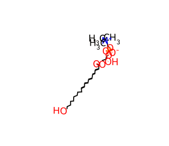 C[N+](C)(C)CCOP(=O)([O-])OC[C@H](O)COC(=O)C=CC=CC=CC=CC=CCCCCCCCCCO